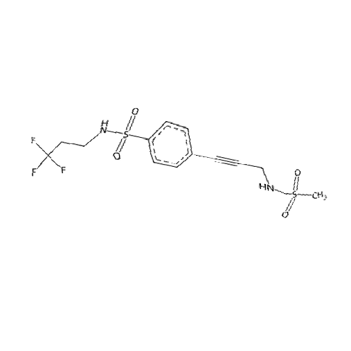 CS(=O)(=O)NCC#Cc1ccc(S(=O)(=O)NCCC(F)(F)F)cc1